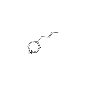 CC=CCc1ccncc1